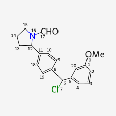 COc1cccc(C(Cl)c2ccc(C3CCCN3C=O)cc2)c1